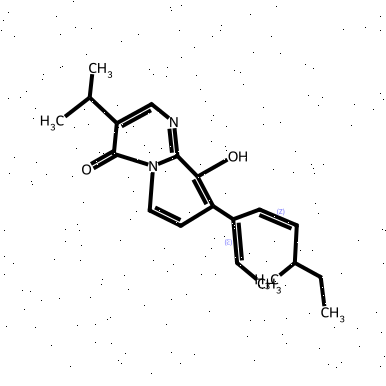 C/C=C(\C=C/C(C)CC)c1ccn2c(=O)c(C(C)C)cnc2c1O